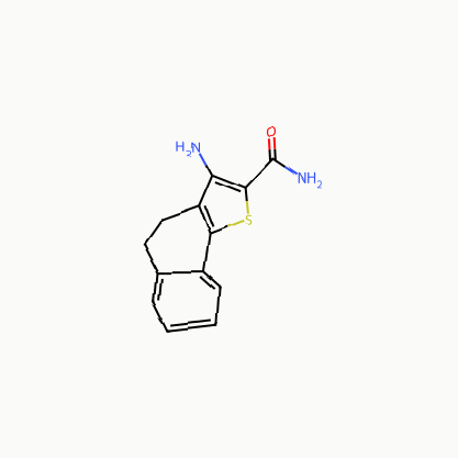 NC(=O)c1sc2c(c1N)CCc1ccccc1-2